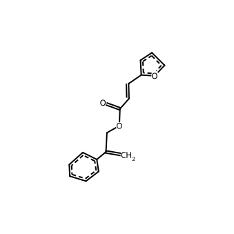 C=C(COC(=O)C=Cc1ccco1)c1ccccc1